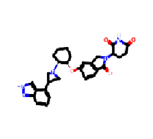 O=C1CCC(N2Cc3cc(O[C@H]4CCCC[C@@H]4N4CC(c5cccc6n[nH]cc56)C4)ccc3C2=O)C(=O)N1